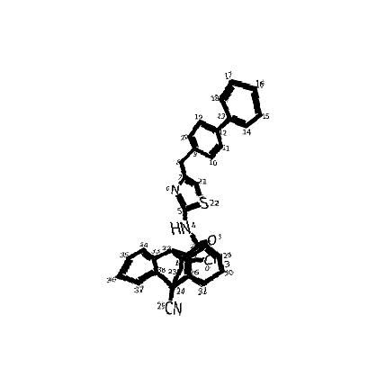 CC1(C(=O)Nc2nc(Cc3ccc(-c4ccccc4)cc3)cs2)CC2(C#N)C3=C(C=CCC3)C1c1ccccc12